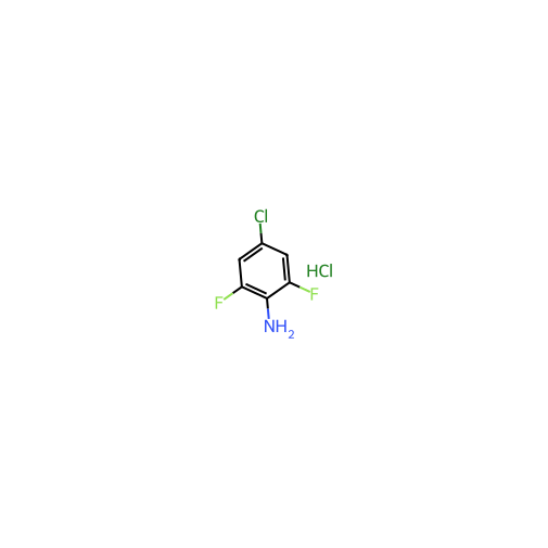 Cl.Nc1c(F)cc(Cl)cc1F